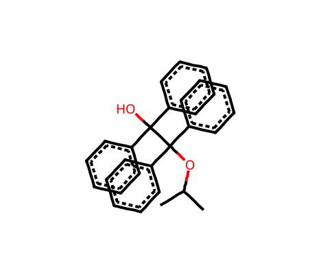 CC(C)OC(c1ccccc1)(c1ccccc1)C(O)(c1ccccc1)c1ccccc1